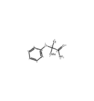 CCC(OC)(Oc1ccccc1)C(N)=O